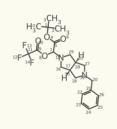 CC(C)(C)OC(=O)C(OC(=O)C(F)(F)F)N1C[C@H]2CN(Cc3ccccc3)C[C@H]2C1